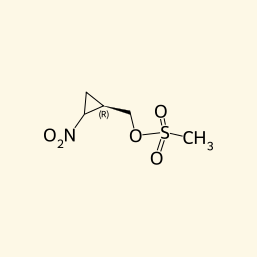 CS(=O)(=O)OC[C@@H]1CC1[N+](=O)[O-]